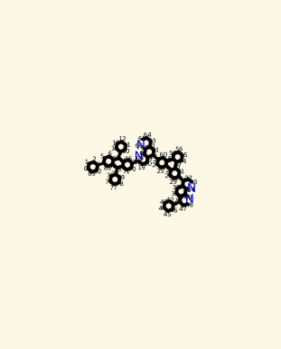 c1ccc(-c2ccc3c(-c4ccccc4)c4cc(-c5ccc6c(-c7ccc8c9ccc(-c%10ccnc%11c%10ccc%10c(-c%12ccccc%12)ccnc%10%11)cc9c9ccccc9c8c7)cc7cccnc7c6n5)ccc4c(-c4ccccc4)c3c2)cc1